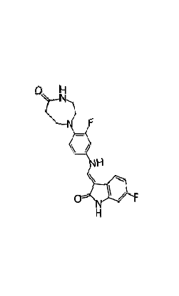 O=C1CCN(c2ccc(N/C=C3/C(=O)Nc4cc(F)ccc43)cc2F)CCN1